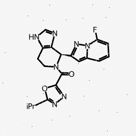 CC(C)c1nnc(C(=O)N2CCc3[nH]cnc3[C@H]2c2cc3cccc(F)n3n2)o1